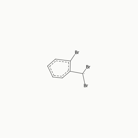 Br[C](Br)c1ccccc1Br